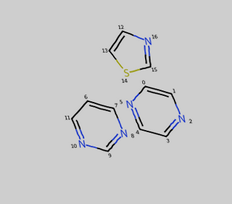 c1cnccn1.c1cncnc1.c1cscn1